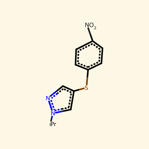 CC(C)n1cc(Sc2ccc([N+](=O)[O-])cc2)cn1